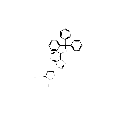 CC[C@H]1O[C@@H](n2cnc3c(NC(c4ccccc4)(c4ccccc4)c4ccccc4)ncnc32)[C@@H](O)C1C